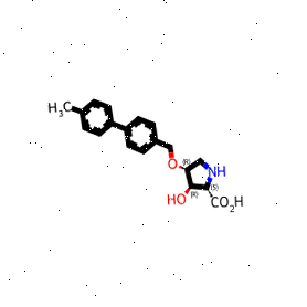 Cc1ccc(-c2ccc(CO[C@@H]3CN[C@H](C(=O)O)[C@H]3O)cc2)cc1